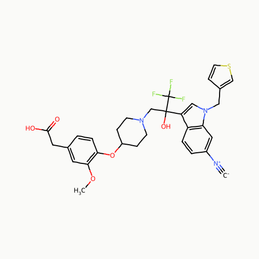 [C-]#[N+]c1ccc2c(C(O)(CN3CCC(Oc4ccc(CC(=O)O)cc4OC)CC3)C(F)(F)F)cn(Cc3ccsc3)c2c1